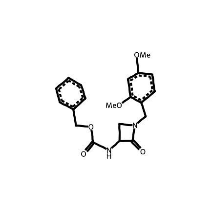 COc1ccc(CN2CC(NC(=O)OCc3ccccc3)C2=O)c(OC)c1